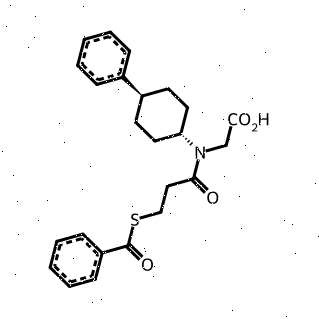 O=C(O)CN(C(=O)CCSC(=O)c1ccccc1)[C@H]1CC[C@H](c2ccccc2)CC1